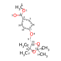 COC(=O)c1ccc(OC[C@@H]2OC(C)(C)OC2(C)C)cc1